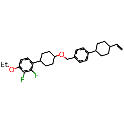 C=CC1CCC(c2ccc(COC3CCC(c4ccc(OCC)c(F)c4F)CC3)cc2)CC1